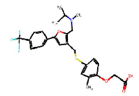 Cc1cc(SCc2cc(-c3ccc(C(F)(F)F)cc3)oc2CN(C)C(C)C)ccc1OCC(=O)O